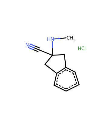 CNC1(C#N)Cc2ccccc2C1.Cl